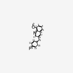 COc1cccc2cc(CC3C=CC(F)=CC3)cnc12